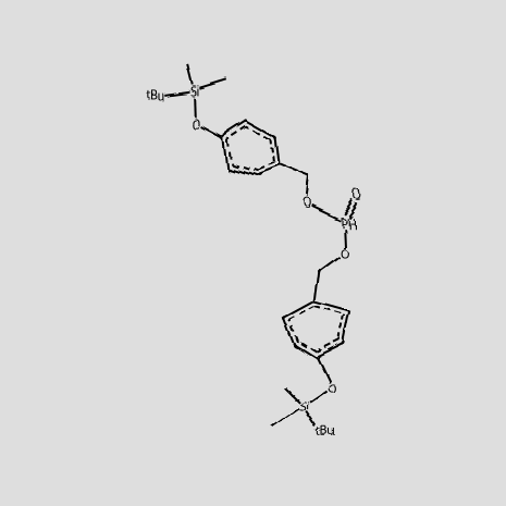 CC(C)(C)[Si](C)(C)Oc1ccc(CO[PH](=O)OCc2ccc(O[Si](C)(C)C(C)(C)C)cc2)cc1